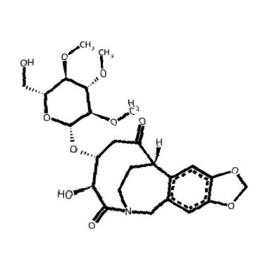 CO[C@@H]1[C@@H](OC)[C@H](O[C@@H]2CC(=O)[C@H]3CCN(Cc4cc5c(cc43)OCO5)C(=O)[C@H]2O)O[C@H](CO)[C@H]1OC